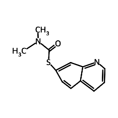 CN(C)C(=O)Sc1ccc2cccnc2c1